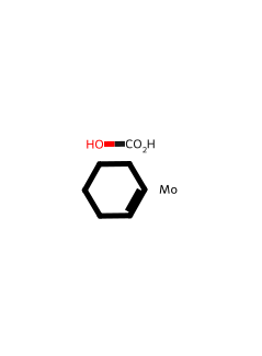 C1=CCCCC1.O=C(O)O.[Mo]